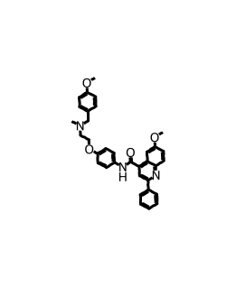 COc1ccc(CN(C)CCOc2ccc(NC(=O)c3cc(-c4ccccc4)nc4ccc(OC)cc34)cc2)cc1